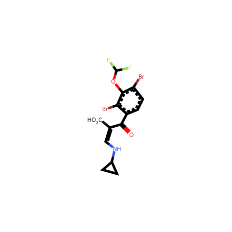 O=C(O)/C(=C/NC1CC1)C(=O)c1ccc(Br)c(OC(F)F)c1Br